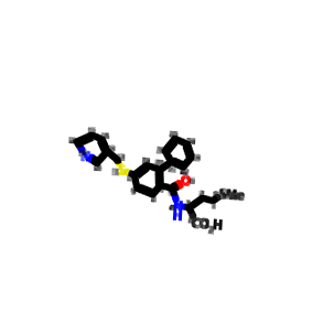 CSCCC(NC(=O)c1ccc(SCc2cccnc2)cc1-c1ccccc1)C(=O)O